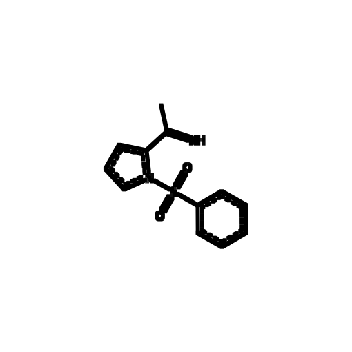 CC(=N)c1cccn1S(=O)(=O)c1ccccc1